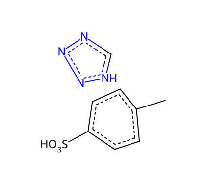 Cc1ccc(S(=O)(=O)O)cc1.c1nnn[nH]1